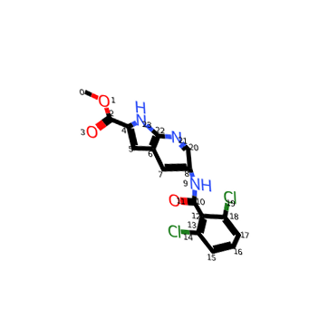 COC(=O)c1cc2cc(NC(=O)c3c(Cl)cccc3Cl)cnc2[nH]1